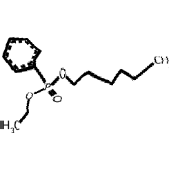 CCCCCCOP(=O)(OCC)c1ccccc1